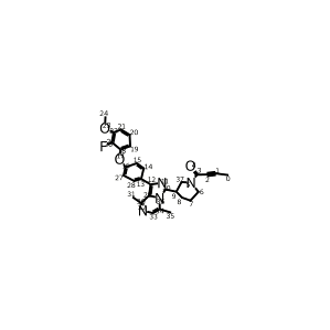 CC#CC(=O)N1CCCC(c2nc(-c3ccc(Oc4cccc(OC)c4F)cc3)c3c(C)ncc(C)n23)C1